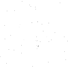 O=P(O)(O)OP(=O)(O)O.[Mn].[Ni]